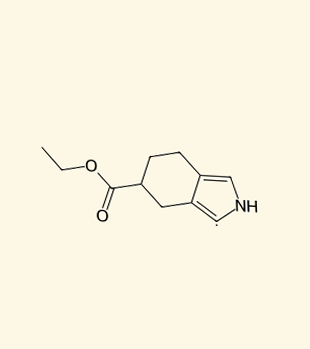 CCOC(=O)C1CCc2c[nH][c]c2C1